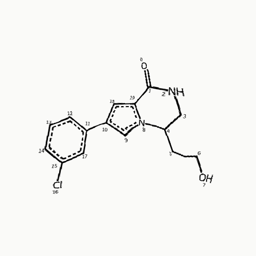 O=C1NCC(CCO)n2cc(-c3cccc(Cl)c3)cc21